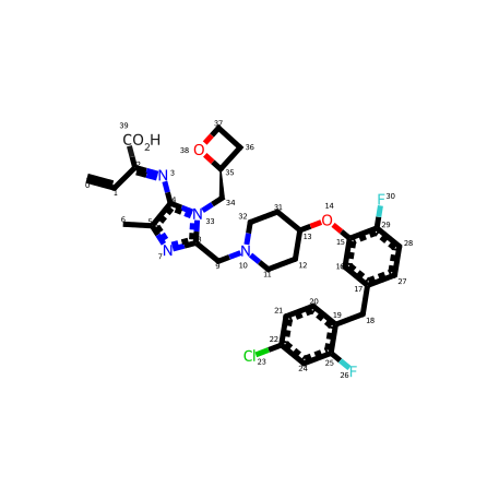 C=C/C(=N\c1c(C)nc(CN2CCC(Oc3cc(Cc4ccc(Cl)cc4F)ccc3F)CC2)n1C[C@@H]1CCO1)C(=O)O